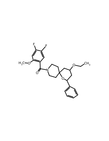 CCOC1CC(c2ccccc2)OC2(CCN(C(=O)c3cc(F)c(F)cc3OC)CC2)C1